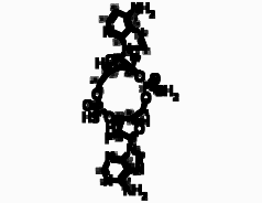 BP1(=O)OC[C@H]2O[C@@H](n3cnc4c(N)ncnc43)[C@H](F)[C@@H]2OP(=O)(S)OC[C@H]2O[C@@H](n3cnc4c(N)ccnc43)[C@H](O1)C2F